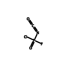 O=C=NP(=O)(F)Cl